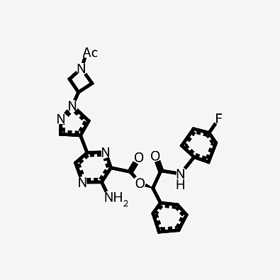 CC(=O)N1CC(n2cc(-c3cnc(N)c(C(=O)O[C@@H](C(=O)Nc4ccc(F)cc4)c4ccccc4)n3)cn2)C1